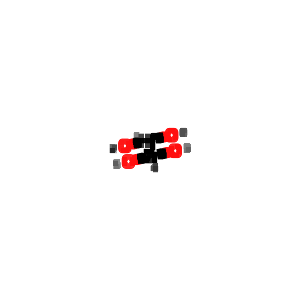 [O]=[Hf]=[O].[O]=[Zr]=[O]